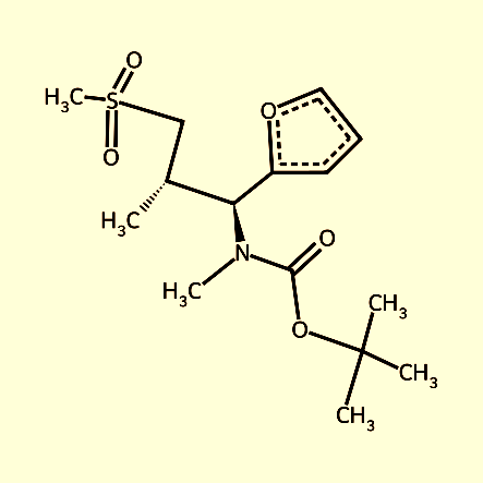 C[C@H](CS(C)(=O)=O)[C@@H](c1ccco1)N(C)C(=O)OC(C)(C)C